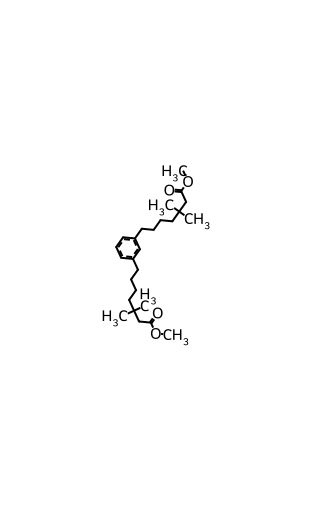 COC(=O)CC(C)(C)CCCCc1cccc(CCCCC(C)(C)CC(=O)OC)c1